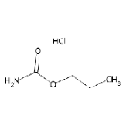 CCCOC(N)=O.Cl